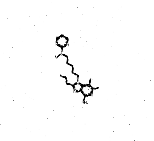 CCCc1nc2c(N)nc(C)c(C)c2n1CCCCC[S+]([O-])c1ncccn1